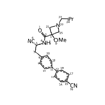 COC1(C(=O)NC(C#N)Cc2ccc(-c3ccc(C#N)cc3)cc2)CN(CC(C)C)C1